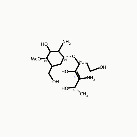 CO[C@@H]1C(CO)C[C@@H](O[C@H](CCO)/C(O)=C(\N)[C@H](C)O)C(N)C1O